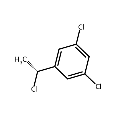 C[C@@H](Cl)c1cc(Cl)cc(Cl)c1